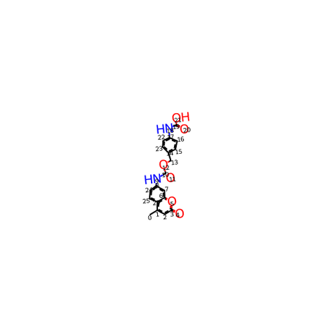 Cc1cc(=O)oc2cc(NC(=O)OCc3ccc(NC(=O)O)cc3)ccc12